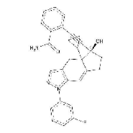 NC(=O)c1ccccc1C#C[C@]1(O)CCC2=Cc3c(cnn3-c3cccc(F)c3)CC21C1CC1